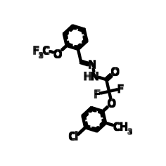 Cc1cc(Cl)ccc1OC(F)(F)C(=O)N/N=C/c1ccccc1OC(F)(F)F